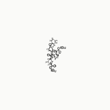 CC(C)(C)OC(=O)Nc1nccc2c1n(-c1ccc(Oc3ccccc3)cc1)c(=O)n2[C@@H]1CCCN(C(=O)OC(C)(C)C)C1